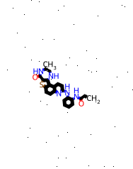 C=CC(=O)Nc1ccccc1Nc1ccc2c(ccc3sc4c(c32)NC[C@@H](C)NC4=O)n1